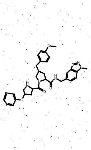 COc1ccc(CC2CC(C(=O)NCc3ccc4c(c3)nnn4C)N(C(=O)C3CC(Oc4ccccc4)CN3)C2)cc1